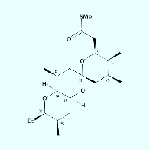 CC[C@H]1O[C@@H]2[C@H](C[C@H]1C)O[C@]1(C[C@H](C)[C@H](C)[C@H](CC(=O)SC)O1)C[C@@H]2C